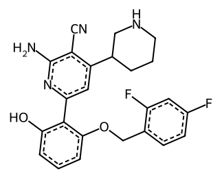 N#Cc1c(C2CCCNC2)cc(-c2c(O)cccc2OCc2ccc(F)cc2F)nc1N